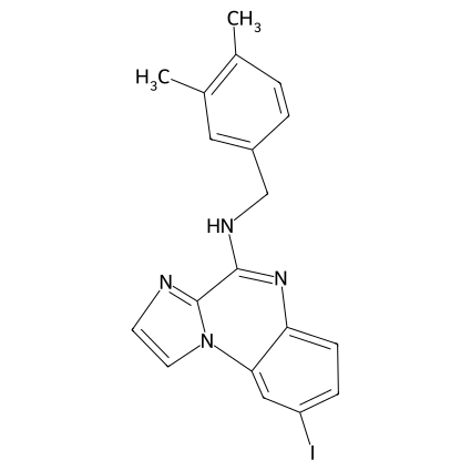 Cc1ccc(CNc2nc3ccc(I)cc3n3ccnc23)cc1C